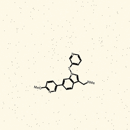 CNCc1cn(Sc2cccnc2)c2cc(-c3ccc(OC)nc3)ccc12